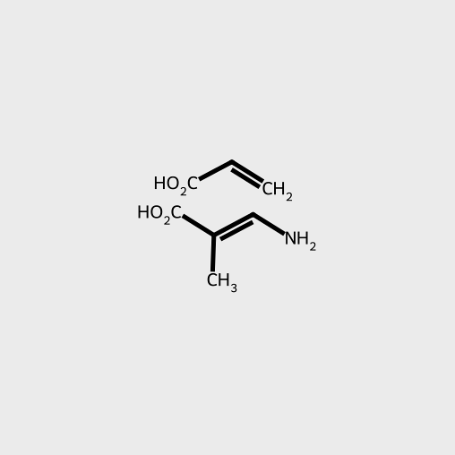 C=CC(=O)O.CC(=CN)C(=O)O